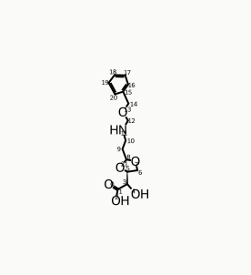 O=C(O)C(O)[C@@H]1COC(CCNCOCc2ccccc2)O1